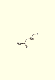 O=C(O)CNCF